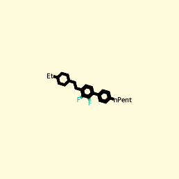 CCCCCc1ccc(-c2ccc(CCC3CCC(CC)CC3)c(F)c2F)cc1